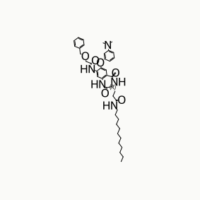 CCCCCCCCCCCCNC(=O)CC[C@H]1NC(=O)c2cc(Oc3cccc(N(C)C)c3)c(NC(=O)COCc3ccccc3)cc2NC1=O